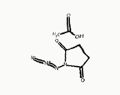 CC(=O)O.[N-]=[N+]=NN1C(=O)CCC1=O